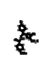 CCc1nn(C(CNC(=O)c2ccc(OC)cc2)c2ccc(Br)cc2)cc1C(=O)O